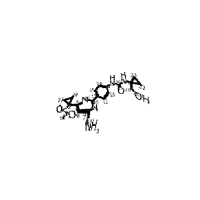 CS(=O)(=O)C1(c2cc(N)nc(-c3ccc(NC(=O)NC4(CO)CC4)cc3)n2)CC1